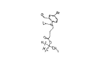 CC(C)(C)OC(=O)CCCN(c1ccc(Br)cc1C=O)C1CC1